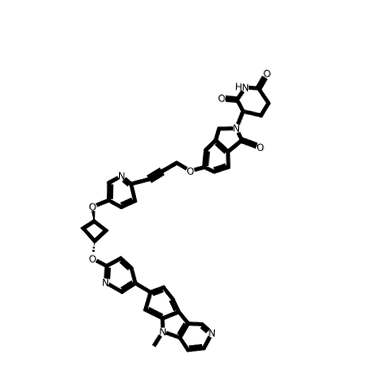 Cn1c2ccncc2c2ccc(-c3ccc(O[C@H]4C[C@H](Oc5ccc(C#CCOc6ccc7c(c6)CN(C6CCC(=O)NC6=O)C7=O)nc5)C4)nc3)cc21